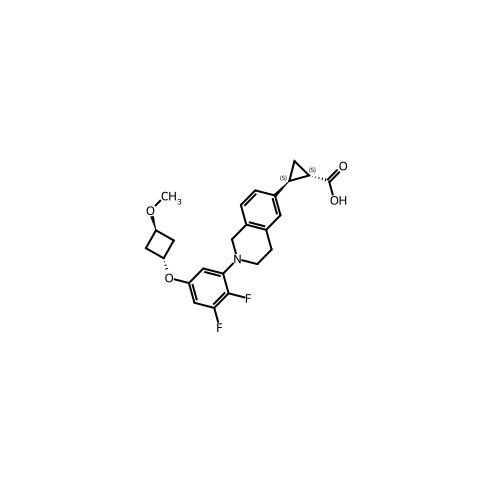 CO[C@H]1C[C@H](Oc2cc(F)c(F)c(N3CCc4cc([C@H]5C[C@@H]5C(=O)O)ccc4C3)c2)C1